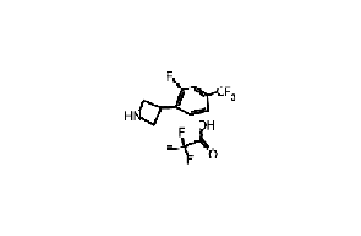 Fc1cc(C(F)(F)F)ccc1C1CNC1.O=C(O)C(F)(F)F